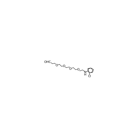 O=CCCOCCOCCOCCOCCNc1ccccc1Cl